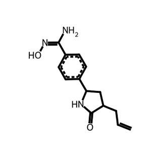 C=CCC1CC(c2ccc(/C(N)=N\O)cc2)NC1=O